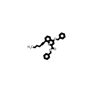 CCCCC#Cc1cccc2c(OCc3ccccc3)cc(C(=O)OCc3ccccc3)nc12